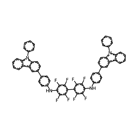 Fc1c(F)c(-c2c(F)c(F)c(Nc3ccc(-c4ccc5c(c4)c4ccccc4n5-c4ccccc4)cc3)c(F)c2F)c(F)c(F)c1Nc1ccc(-c2ccc3c(c2)c2ccccc2n3-c2ccccc2)cc1